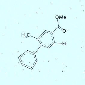 CCc1cc(-c2ccccc2)c(C)cc1C(=O)OC